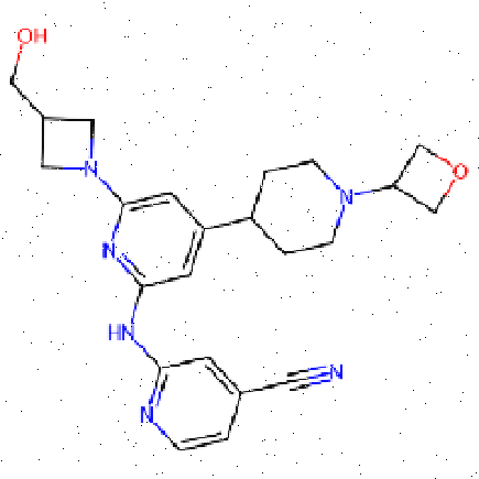 N#Cc1ccnc(Nc2cc(C3CCN(C4COC4)CC3)cc(N3CC(CO)C3)n2)c1